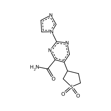 NC(=O)c1nc(-n2ccnc2)ncc1C1CCS(=O)(=O)C1